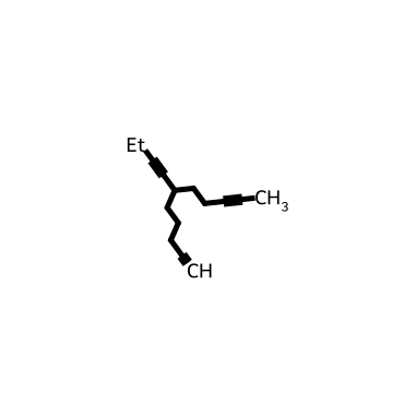 C#CCCCC(C#CCC)CCC#CC